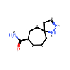 NC(=O)C1CCCC2(CC=NN2)CC1